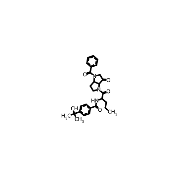 CCCC(NC(=O)c1ccc(C(C)(C)C)cc1)C(=O)N1CCC2C1C(=O)CN2C(=O)c1ccccc1